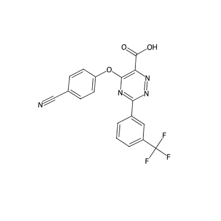 N#Cc1ccc(Oc2nc(-c3cccc(C(F)(F)F)c3)nnc2C(=O)O)cc1